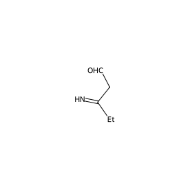 CCC(=N)CC=O